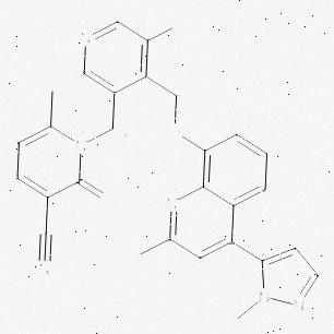 Cc1cc(-c2ccnn2C)c2cccc(OCc3c(Cl)cncc3Cn3c(C)ccc(C#N)c3=O)c2n1